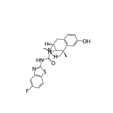 CN1CC[C@@]2(C)c3cc(O)ccc3C[C@@H]1[C@@H]2N(C)C(=O)Nc1nc2cc(F)ccc2s1